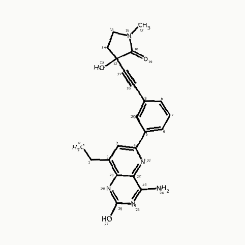 CCc1cc(-c2cccc(C#CC3(O)CCN(C)C3=O)c2)nc2c(N)nc(O)nc12